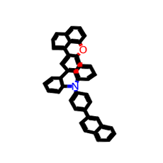 C1=CC(c2ccc3c(c2)-c2cccc4cccc(c24)O3)C(N(c2ccccc2)c2ccc(-c3ccc4ccccc4c3)cc2)C=C1